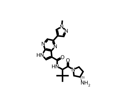 Cn1cc(-c2cnc3[nH]cc(C(=O)NC(C(=O)N4CC[C@H](N)C4)C(C)(C)C)c3n2)cn1